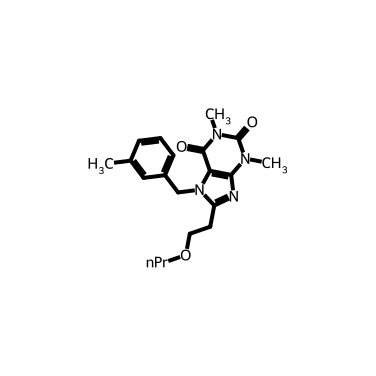 CCCOCCc1nc2c(c(=O)n(C)c(=O)n2C)n1Cc1cccc(C)c1